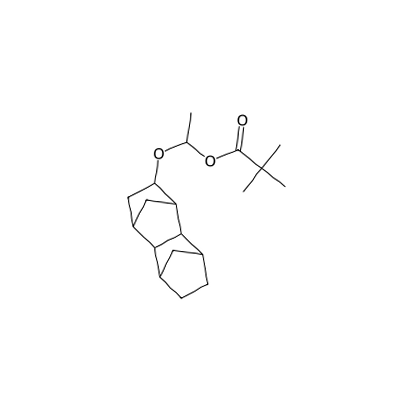 CC(OC(=O)C(C)(C)C)OC1CC2CC1C1C3CCC(C3)C21